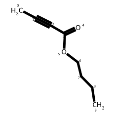 CC#CC(=O)OCCCC